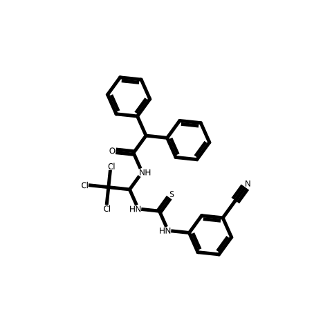 N#Cc1cccc(NC(=S)NC(NC(=O)C(c2ccccc2)c2ccccc2)C(Cl)(Cl)Cl)c1